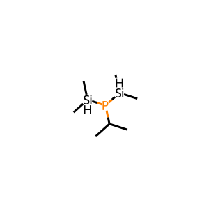 CC(C)P([SiH](C)C)[SiH](C)C